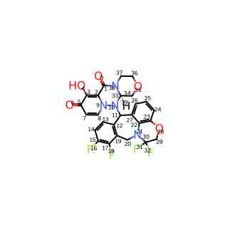 O=C1c2c(O)c(=O)ccn2N(C2c3ccc(F)c(F)c3CN3c4c(cccc42)OCC3(F)F)[C@@H]2COCCN12